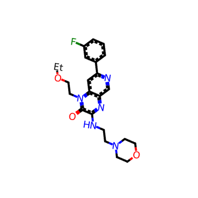 CCOCCn1c(=O)c(NCCN2CCOCC2)nc2cnc(-c3cccc(F)c3)cc21